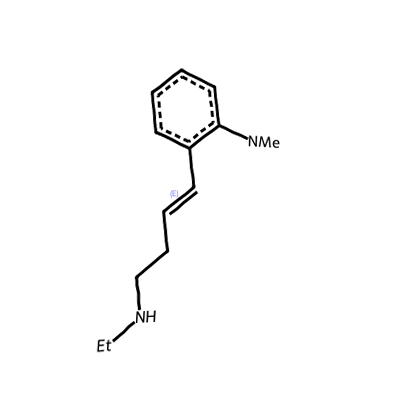 CCNCC/C=C/c1ccccc1NC